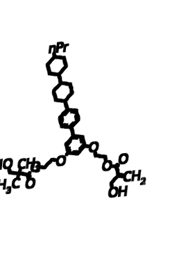 C=C(CO)C(=O)OCCOc1cc(OCCOC(=O)C(C)(C)CO)cc(-c2ccc(C3CCC(C4CCC(CCC)CC4)CC3)cc2)c1